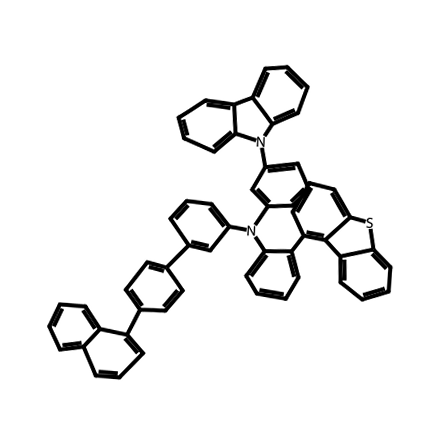 c1cc(-c2ccc(-c3cccc4ccccc34)cc2)cc(N(c2cccc(-n3c4ccccc4c4ccccc43)c2)c2ccccc2-c2cccc3sc4ccccc4c23)c1